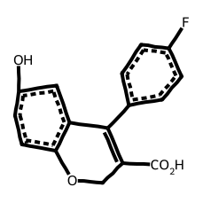 O=C(O)C1=C(c2ccc(F)cc2)c2cc(O)ccc2OC1